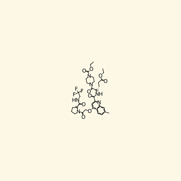 CCOC(=O)CC[C@H](NC(=O)c1cc(OCC(=O)N2CCC[C@H]2C(=O)NCC(F)(F)F)c2ccc(C)cc2n1)C(=O)N1CCN(C(=O)OCC)CC1